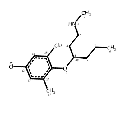 CCC[C@H](CCNC)Oc1c(C)cc(Cl)cc1Cl